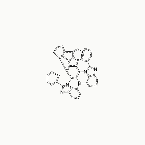 c1ccc(-c2nc3cccc4c3n2-c2c3c(c5c6cccc7c8cccc9c2c5n(c89)c76)-n2c(-c5ccccc5)nc5cccc(c52)B34)cc1